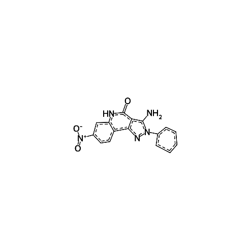 Nc1c2c(=O)[nH]c3cc([N+](=O)[O-])ccc3c2nn1-c1ccccc1